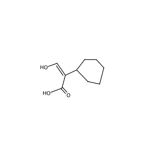 O=C(O)C(=CO)C1CCCCC1